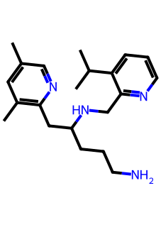 Cc1cnc(CC(CCCN)NCc2ncccc2C(C)C)c(C)c1